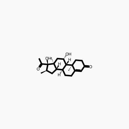 CC(=O)[C@@]1(O)[C@H](C)C[C@H]2[C@@H]3CCC4=CC(=O)CC[C@]4(C)[C@H]3[C@@H](O)C[C@@]21C